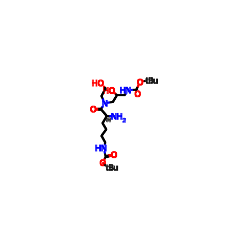 CC(C)(C)OC(=O)NCCCC[C@H](N)C(=O)N(CCO)CC(O)CNC(=O)OC(C)(C)C